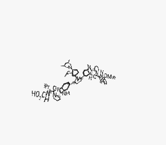 COC(=O)N[C@H](C(=O)N1CCC[C@H]1c1nc2ccc([C@H]3CC[C@H](c4ccc5nc([C@@H]6CCCN6C(=O)[C@@H](NC(=O)O)C(C)C)[nH]c5c4)N3c3ccc(N4CC(C)CC(C)C4)c(F)c3)cc2[nH]1)C(C)C